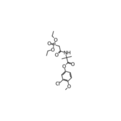 CCOP(=O)(CC(=O)NC(C)(C)C(=O)Oc1ccc(OC)c(Cl)c1)OCC